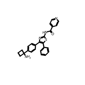 NC1(c2ccc(-c3nc(NC(=O)c4ccncc4)sc3-c3ccccc3)cc2)CCC1